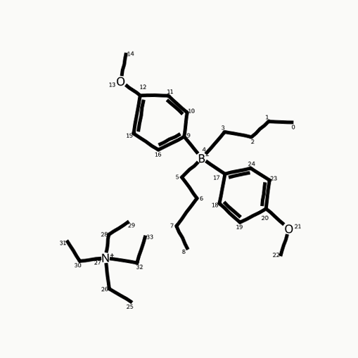 CCCC[B-](CCCC)(c1ccc(OC)cc1)c1ccc(OC)cc1.CC[N+](CC)(CC)CC